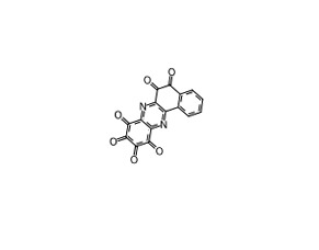 O=C1C(=O)c2nc3c(=O)c(=O)c(=O)c(=O)c3nc2-c2ccccc21